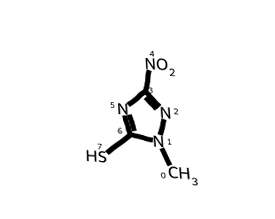 Cn1nc([N+](=O)[O-])nc1S